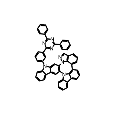 c1ccc(-c2nc(-c3ccccc3)nc(-c3cccc(-n4c5ccccc5c5cc6c(cc54)n4ncc5cccc(c7cccc8c9ccccc9n6c78)c54)c3)n2)cc1